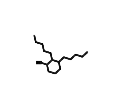 CCCCCC1CCCC(O)C1CCCCC